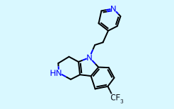 FC(F)(F)c1ccc2c(c1)c1c(n2CCc2ccncc2)CCNC1